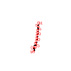 O=C(CO)OCC(=O)OCOC(=O)OCOC(=O)OCOC(=O)COC(=O)CO